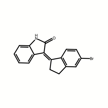 O=C1Nc2ccccc2C1=C1CCc2cc(Br)ccc21